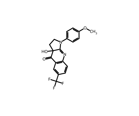 COc1ccc(N2CCC3(O)C(=O)c4cc(C(F)(F)F)ccc4N=C23)cc1